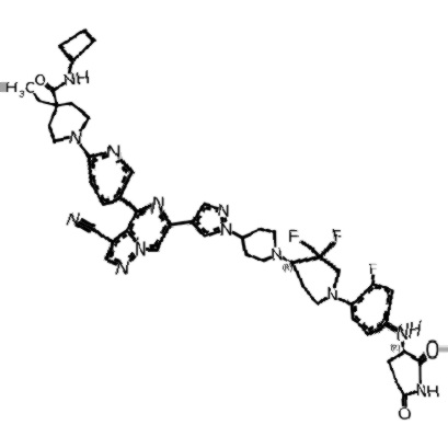 CCC1(C(=O)NC2CCC2)CCN(c2ccc(-c3nc(-c4cnn(C5CCN([C@@H]6CCN(c7ccc(N[C@@H]8CCC(=O)NC8=O)cc7F)CC6(F)F)CC5)c4)cn4ncc(C#N)c34)cn2)CC1